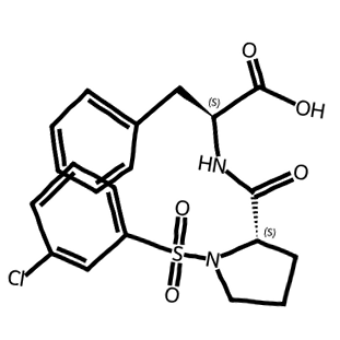 O=C(O)[C@H](Cc1ccccc1)NC(=O)[C@@H]1CCCN1S(=O)(=O)c1cccc(Cl)c1